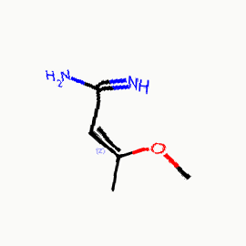 CO/C(C)=C\C(=N)N